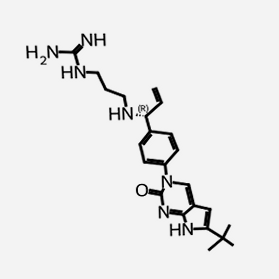 C=C[C@@H](NCCCNC(=N)N)c1ccc(-n2cc3cc(C(C)(C)C)[nH]c3nc2=O)cc1